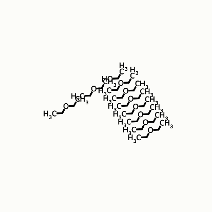 CCO.CCOCC.CCOCC.CCOCC.CCOCC.CCOCC.CCOCC.CCOCC.CCOCC.CCOCC